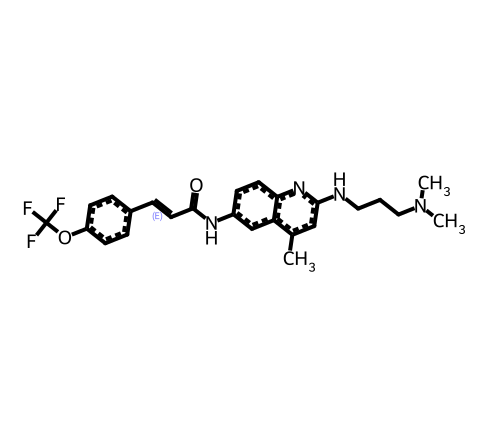 Cc1cc(NCCCN(C)C)nc2ccc(NC(=O)/C=C/c3ccc(OC(F)(F)F)cc3)cc12